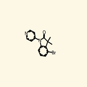 CC1(C)C(=O)N(c2ccncc2)c2cccc(Br)c21